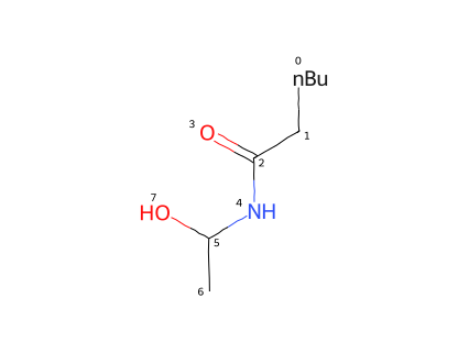 CCCCCC(=O)NC(C)O